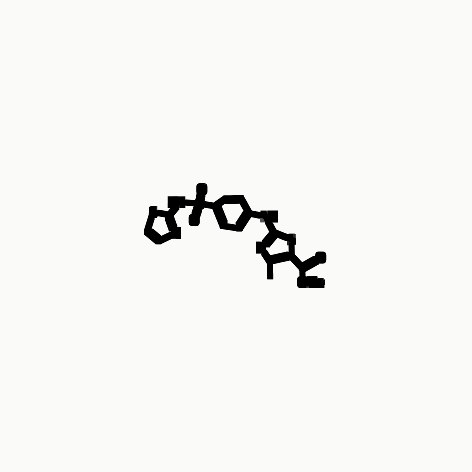 COC(=O)c1sc(Nc2ccc(S(=O)(=O)Nc3nccs3)cc2)nc1C